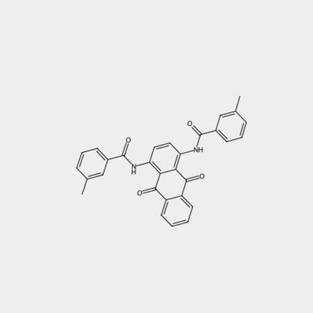 Cc1cccc(C(=O)Nc2ccc(NC(=O)c3cccc(C)c3)c3c2C(=O)c2ccccc2C3=O)c1